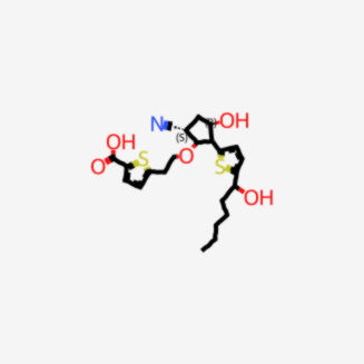 CCCCCC(O)c1ccc(C2C(OCCc3ccc(C(=O)O)s3)[C@H](C#N)C[C@H]2O)s1